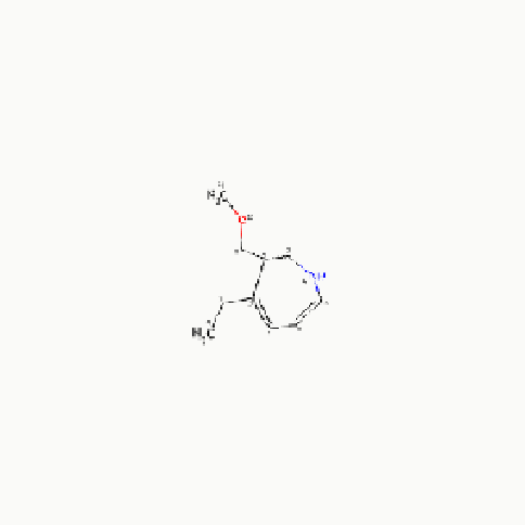 CCC1=CC=CNCC1COC